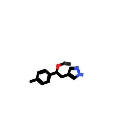 Cc1ccc(C(Cc2cn[nH]c2)OC=O)cc1